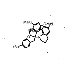 COc1cc(OC)cc(C(Cc2ccc(C(C)(C)C)cc2)(C(N)=O)N2CCCc3cc(Cl)cc(C(=O)O)c32)c1